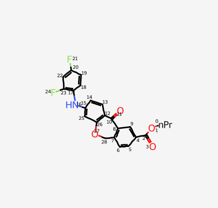 CCCOC(=O)c1ccc2c(c1)C(=O)c1ccc(Nc3ccc(F)cc3F)cc1OC2